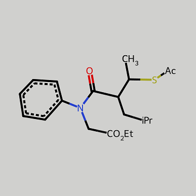 CCOC(=O)CN(C(=O)C(CC(C)C)C(C)SC(C)=O)c1ccccc1